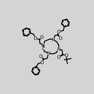 CC(C)(C)OC(=O)CN1CCN(CC(=O)OCc2ccccc2)CCN(CC(=O)OCc2ccccc2)CCN(CC(=O)OCc2ccccc2)CC1